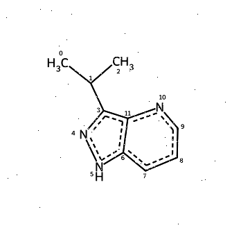 CC(C)c1n[nH]c2cccnc12